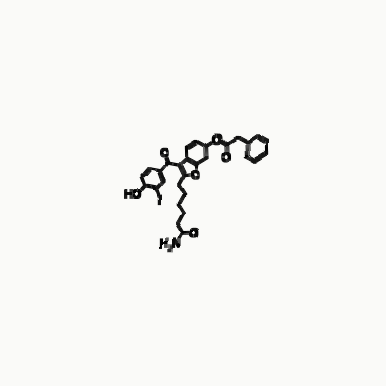 NC(=O)CCCCCc1oc2cc(OC(=O)Cc3ccccc3)ccc2c1C(=O)c1ccc(O)c(I)c1